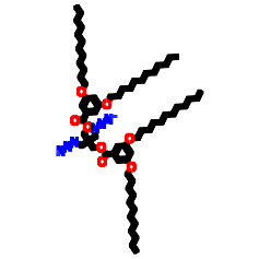 CCCCCCCCCCCCOc1cc(OCCCCCCCCCCCC)cc(C(=O)OCC(CN=[N+]=[N-])(CN=[N+]=[N-])COC(=O)c2cc(OCCCCCCCCCCCC)cc(OCCCCCCCCCCCC)c2)c1